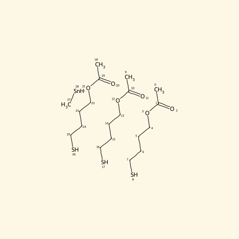 CC(=O)OCCCCS.CC(=O)OCCCCS.CC(=O)OCCCCS.[CH3][SnH]